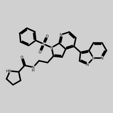 O=C(NCCc1cc2c(-c3cnn4ncccc34)ccnc2n1S(=O)(=O)c1ccccc1)C1CCCN1